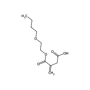 C=C(CC(=O)O)C(=O)OCCOCCCC